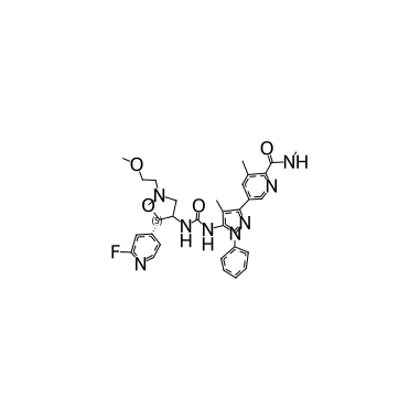 CNC(=O)c1ncc(-c2nn(-c3ccccc3)c(NC(=O)NC3CN(CCOC)O[C@H]3c3ccnc(F)c3)c2C)cc1C